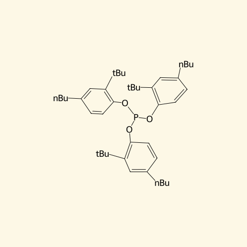 CCCCc1ccc(OP(Oc2ccc(CCCC)cc2C(C)(C)C)Oc2ccc(CCCC)cc2C(C)(C)C)c(C(C)(C)C)c1